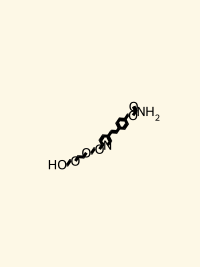 NC(=O)OCc1ccc(C=Cc2ccc(OCCOCCOCCO)nc2)cc1